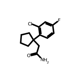 NC(=O)CC1(c2ccc(F)cc2Cl)CCCC1